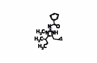 C=CC(C)c1c(CC2CC2)[nH]/c(=N\C(=O)c2ccccc2)n1C